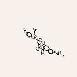 Nc1ccc2c(c1)CCC1(C2)NC(=O)N(CC(=O)N(CCC2CC2)Cc2ccc(F)cc2)C1=O